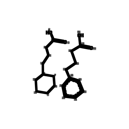 O=C(O)CCCC1CCCCC1.O=C(O)CCCc1ccccc1